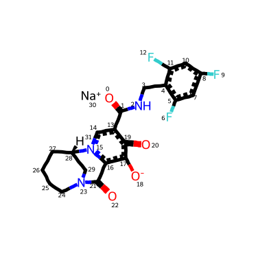 O=C(NCc1c(F)cc(F)cc1F)c1cn2c(c([O-])c1=O)C(=O)N1CCCC[C@H]2C1.[Na+]